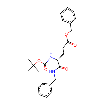 CC(C)(C)OC(=O)N[C@@H](CCC(=O)OCc1ccccc1)C(=O)NCc1ccccc1